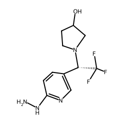 NNc1ccc([C@H](N2CCC(O)C2)C(F)(F)F)cn1